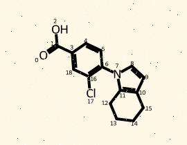 O=C(O)c1ccc(-n2ccc3c2CCCC3)c(Cl)c1